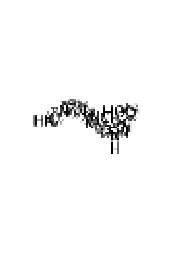 CC1c2c([nH]c3nnc(-c4ccccc4O)cc23)CCN1c1ncc(N2CCC3(CCN(C4CCNCC4)C3)C2)cn1